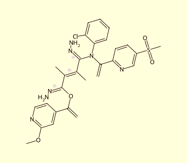 C=C(OC(=N\N)/C(C)=C(C)/C(=N/N)N(C(=C)c1ccc(S(C)(=O)=O)cn1)c1ccccc1Cl)c1ccnc(OC)c1